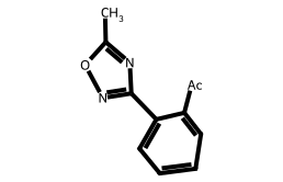 CC(=O)c1ccccc1-c1noc(C)n1